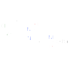 CC(C)COC(=O)Nc1ccc2ncn(Cc3ccc(Cl)c(Cl)c3)c(=O)c2c1